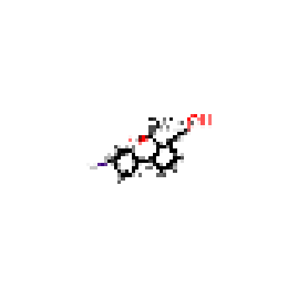 COC(=O)c1c(CCO)cccc1-c1ccc(I)cc1